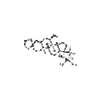 C[C@@H]1CC2=CC3(CCSS3)CC[C@@H]2[C@H]2CC[C@@]3(C)[C@@H](CC[C@@]3(O[Si](C)(C)C)C(F)(F)F)[C@@H]21